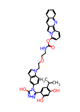 CC(C)c1cc(-c2nnc(O)n2-c2ccc3c(ccn3CCOCCNC(=O)Oc3cccc4c5nc6ccccc6cc5cn34)c2)c(O)cc1O